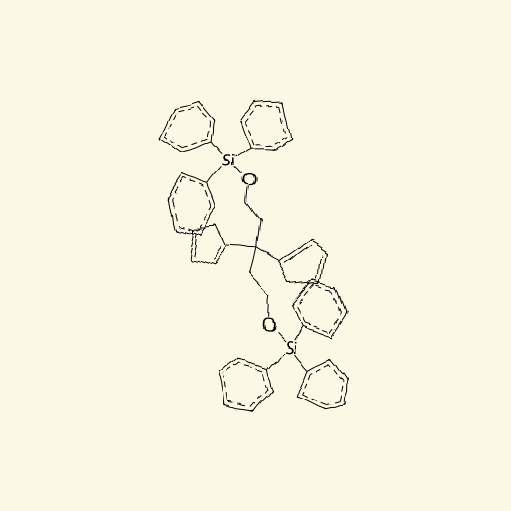 C1=CCC(C(CCO[Si](c2ccccc2)(c2ccccc2)c2ccccc2)(CCO[Si](c2ccccc2)(c2ccccc2)c2ccccc2)C2=CC=CC2)=C1